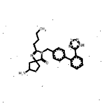 CCCCC1=NC2(CCC(N)C2)C(=O)N1Cc1ccc(-c2ccccc2-c2nnn[nH]2)cc1